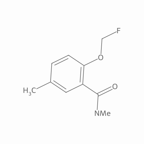 CNC(=O)c1cc(C)ccc1OCF